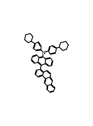 c1ccc2cc3c(ccc4c(-c5c6ccccc6c(N(c6ccc(C7CCCCC7)cc6)c6ccc(C7CCCCC7)cc6)c6ccccc56)cccc43)cc2c1